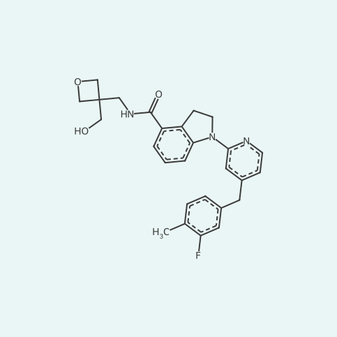 Cc1ccc(Cc2ccnc(N3CCc4c(C(=O)NCC5(CO)COC5)cccc43)c2)cc1F